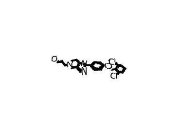 O=CCCN1CCc2nc(-c3ccc(OCc4c(Cl)cccc4Cl)cc3)ncc2C1